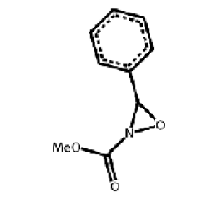 COC(=O)N1OC1c1ccccc1